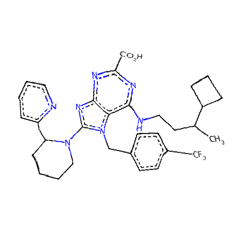 CC(CCNc1nc(C(=O)O)nc2nc(N3CCCCC3c3ccccn3)n(Cc3ccc(C(F)(F)F)cc3)c12)C1CCC1